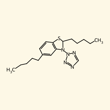 CCCCCc1ccc2c(c1)N(n1ncnn1)C(CCCCC)S2